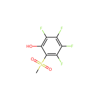 CS(=O)(=O)c1c(O)c(F)c(F)c(F)c1F